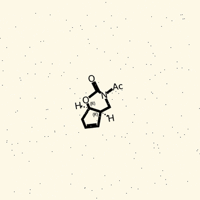 CC(=O)N1C[C@H]2C=CC[C@H]2OC1=O